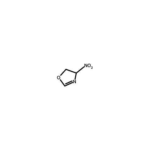 O=[N+]([O-])C1COC=N1